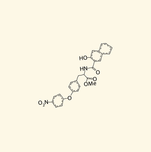 COC(=O)C(Cc1ccc(Oc2ccc([N+](=O)[O-])cc2)cc1)NC(=O)c1cc2ccccc2cc1O